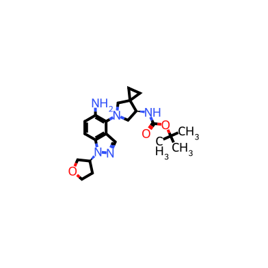 CC(C)(C)OC(=O)N[C@H]1CN(c2c(N)ccc3c2cnn3[C@H]2CCOC2)CC12CC2